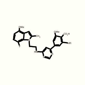 CCCc1cc(-c2cc(NCCn3c(C)cc4c(OC)ccc(F)c43)ncn2)cc(OC)c1C(=O)O